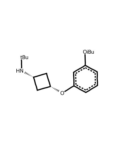 CC(C)COc1cccc(O[C@H]2C[C@@H](NC(C)(C)C)C2)c1